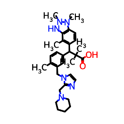 Cc1ccc(C(c2ccc3c(c2C)NN(C)N3C)C(C)(C)C(=O)O)cc1Cn1ccnc1CN1CCCCC1